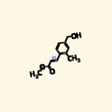 COC(=O)/C=C/c1ccc(CO)cc1C